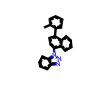 Cc1ccccc1-c1ccc(-n2nnc3ccccc32)c2ccccc12